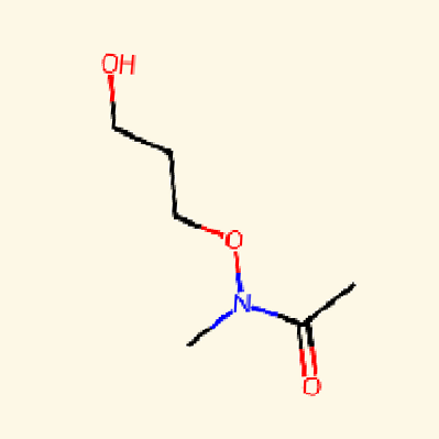 CC(=O)N(C)OCCCO